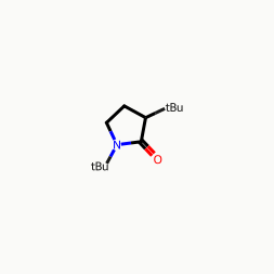 CC(C)(C)C1CCN(C(C)(C)C)C1=O